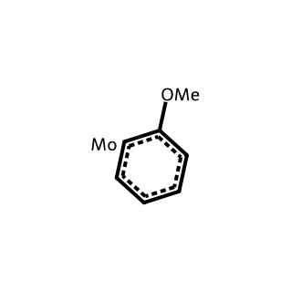 COc1ccccc1.[Mo]